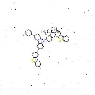 CC1(C)c2cc(-n3c4ccc(-c5ccccc5)cc4c4cc(-c5ccc6sc7ccccc7c6c5)ccc43)ccc2-c2c1ccc1c2sc2ccccc21